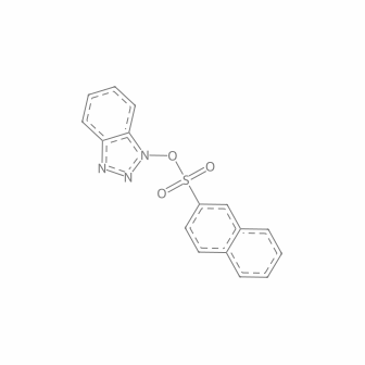 O=S(=O)(On1nnc2ccccc21)c1ccc2ccccc2c1